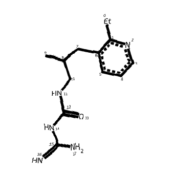 CCc1ncccc1CC(C)CNC(=O)NC(=N)N